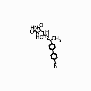 CC(CNC(=O)CC1NC(=O)NC1=O)c1ccc(-c2ccc(C#N)cc2)cc1